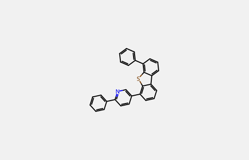 c1ccc(-c2ccc(-c3cccc4c3sc3c(-c5ccccc5)cccc34)cn2)cc1